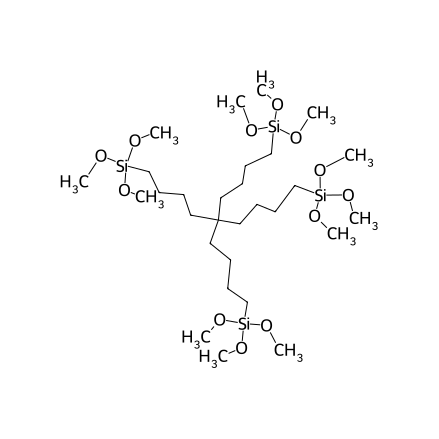 CO[Si](CCCCC(CCCC[Si](OC)(OC)OC)(CCCC[Si](OC)(OC)OC)CCCC[Si](OC)(OC)OC)(OC)OC